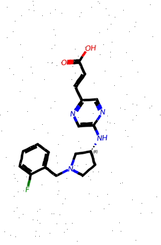 O=C(O)C=Cc1cnc(N[C@@H]2CCN(Cc3ccccc3F)C2)cn1